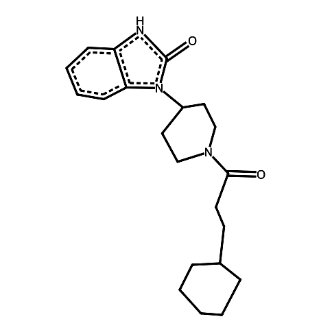 O=C(CCC1CCCCC1)N1CCC(n2c(=O)[nH]c3ccccc32)CC1